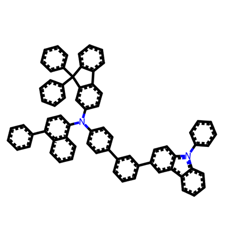 c1ccc(-c2ccc(N(c3ccc(-c4cccc(-c5ccc6c(c5)c5ccccc5n6-c5ccccc5)c4)cc3)c3ccc4c(c3)C(c3ccccc3)(c3ccccc3)c3ccccc3-4)c3ccccc23)cc1